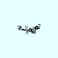 Cc1cc2[nH]c(-c3ccc(C(=O)NCCCN4CCOCC4)cc3Br)nc2cc1Cl